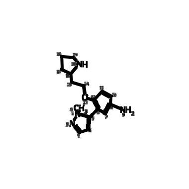 Cn1nccc1-c1cc(N)ccc1OCCC1CCCN1